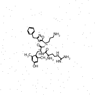 Cc1cc(O)cc(C)c1C[C@H](NC(=O)[C@H](N)CCNC(=N)N)C(=O)C[C@@H](CCCN)c1nc(Cc2ccccc2)no1